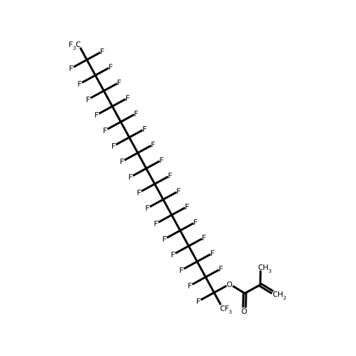 C=C(C)C(=O)OC(F)(C(F)(F)F)C(F)(F)C(F)(F)C(F)(F)C(F)(F)C(F)(F)C(F)(F)C(F)(F)C(F)(F)C(F)(F)C(F)(F)C(F)(F)C(F)(F)C(F)(F)C(F)(F)C(F)(F)C(F)(F)F